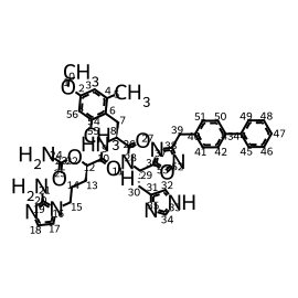 COc1cc(C)c(C[C@H](NC(=O)[C@@H](CCCn2ccnc2N)OC(N)=O)C(=O)N[C@@H](Cc2c[nH]cn2)c2nc(Cc3ccc(-c4ccccc4)cc3)no2)c(C)c1